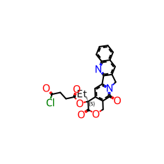 CC[C@@]1(OC(=O)CCC(=O)Cl)C(=O)OCc2c1cc1n(c2=O)Cc2cc3ccccc3nc2-1